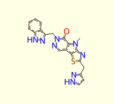 Cn1c2nc(Cc3cc[nH]n3)sc2c2cnn(Cc3n[nH]c4ccccc34)c(=O)c21